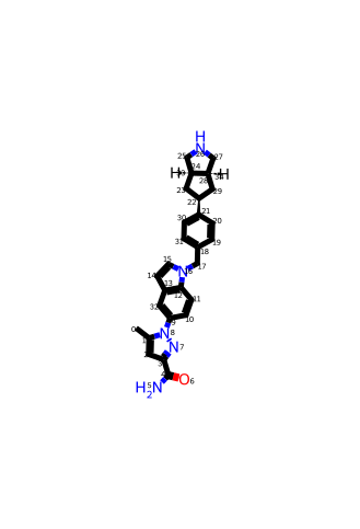 Cc1cc(C(N)=O)nn1-c1ccc2c(ccn2Cc2ccc([C@H]3C[C@H]4CNC[C@H]4C3)cc2)c1